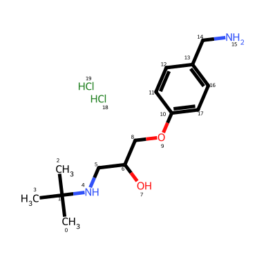 CC(C)(C)NCC(O)COc1ccc(CN)cc1.Cl.Cl